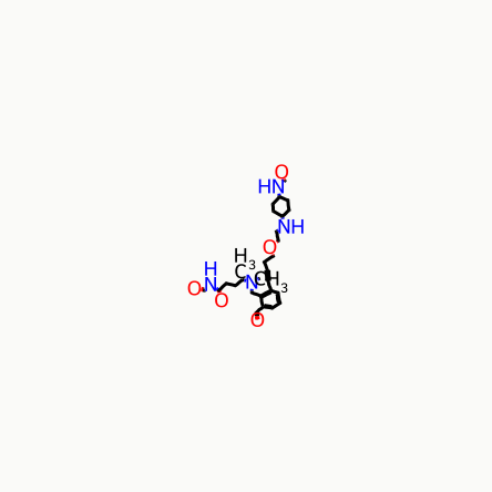 CC(CCC(=O)NC=O)N(C)Cc1c(C#CCCOCCNC2CCC(NC=O)CC2)cccc1C=O